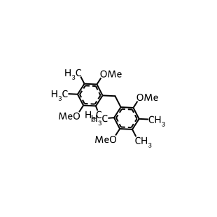 COc1c(C)c(C)c(OC)c(Cc2c(C)c(OC)c(C)c(C)c2OC)c1C